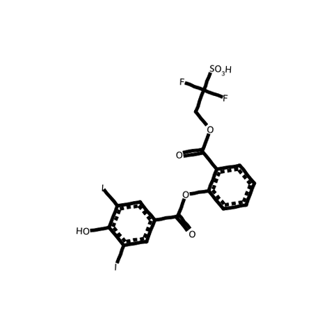 O=C(Oc1ccccc1C(=O)OCC(F)(F)S(=O)(=O)O)c1cc(I)c(O)c(I)c1